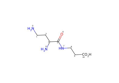 NCCC(N)C(=O)NCCC(=O)O